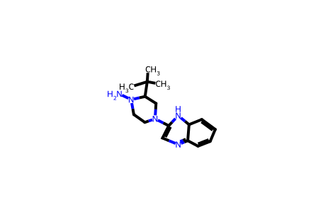 CC(C)(C)C1CN(C2=CN=C3C=CC=CC3N2)CCN1N